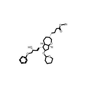 CC(C)OC(=O)CCC[C@H]1CC[C@@H]2[C@@H](C=C[C@@H](O)COc3ccccc3)[C@H](OC3CCCCO3)C[C@@H]2OC1